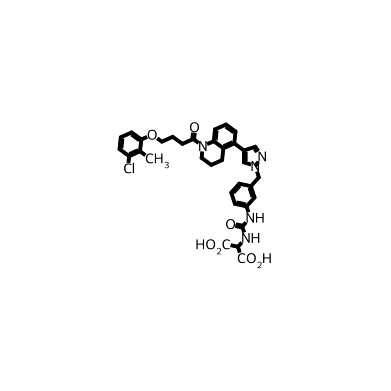 Cc1c(Cl)cccc1OCCCC(=O)N1CCCc2c(-c3cnn(Cc4cccc(NC(=O)NC(C(=O)O)C(=O)O)c4)c3)cccc21